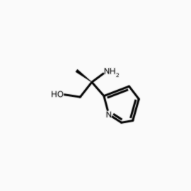 C[C@](N)(CO)c1ccccn1